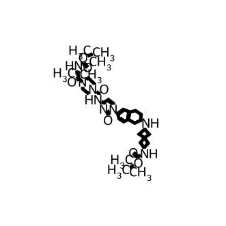 CC(C)(C)OC(=O)NC1CC2(C1)CC(NC1CCc3cc(-n4ccc(NC(=O)N5CCN(C(=O)C(C)(C)NC(=O)OC(C)(C)C)CC5)nc4=O)ccc3C1)C2